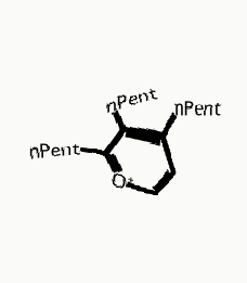 CCCCCc1cc[o+]c(CCCCC)c1CCCCC